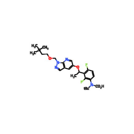 CC(Oc1cnc2c(cnn2COCC[Si](C)(C)C)c1)c1c(F)ccc(N(C(=O)O)C(C)(C)C)c1F